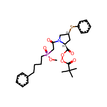 COP(=O)(CCCCc1ccccc1)CC(=O)N1C[C@@H](Sc2ccccc2)C[C@H]1C(=O)OOC(=O)C(C)(C)C